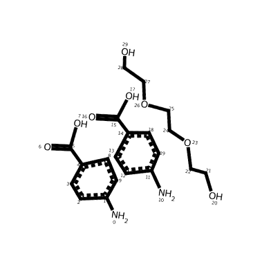 Nc1ccc(C(=O)O)cc1.Nc1ccc(C(=O)O)cc1.OCCOCCOCCO